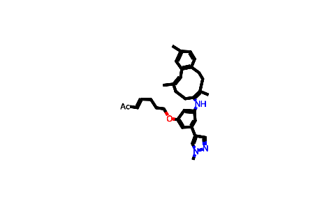 CC(=O)/C=C/CCCOc1cc(N/C2=C(\C)CCc3ccc(C)cc3/C=C(\C)CC2)cc(-c2cnn(C)c2)c1